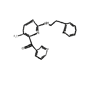 O=C(c1cccnc1)c1nc(NCCc2ccccc2)ccc1C(F)(F)F